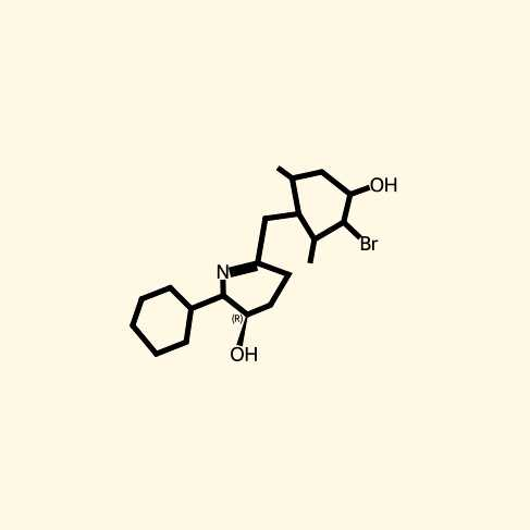 CC1CC(O)C(Br)C(C)C1CC1=NC(C2CCCCC2)[C@H](O)CC1